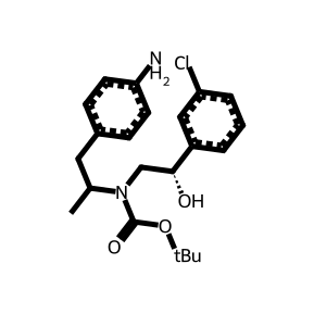 CC(Cc1ccc(N)cc1)N(C[C@@H](O)c1cccc(Cl)c1)C(=O)OC(C)(C)C